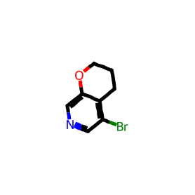 Brc1cncc2c1CCCO2